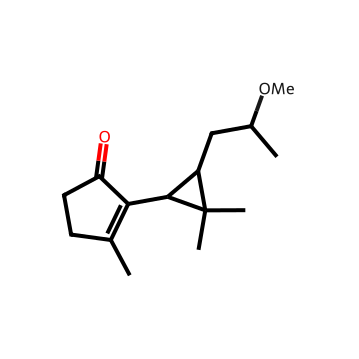 COC(C)CC1C(C2=C(C)CCC2=O)C1(C)C